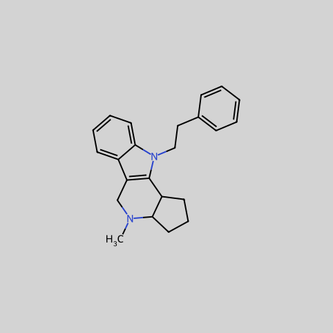 CN1Cc2c(n(CCc3ccccc3)c3ccccc23)C2CCCC21